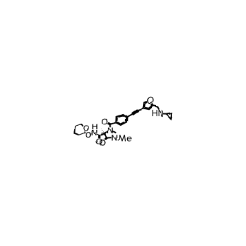 CNC(=O)[C@@](C)(C(=O)NOC1CCCCO1)N(C)C(=O)c1ccc(C#Cc2coc(CNC3CC3)c2)cc1